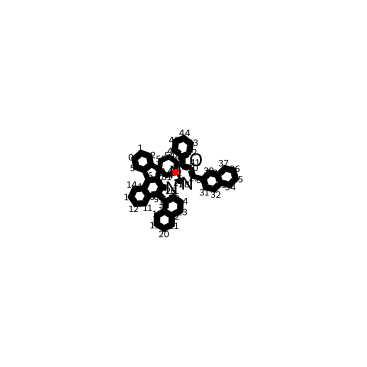 c1ccc2c(c1)-c1c(c3c(c4ccccc14)c1c4ccccc4ccc1n3-c1nc(-c3ccc4ccccc4c3)c3oc4ccccc4c3n1)C21CCCCC1